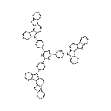 c1ccc2c(c1)sc1c2ccc2c1c1ccccc1n2-c1ccc(-c2nc(-c3ccc(-n4c5ccccc5c5c6sc7ccccc7c6ccc54)cc3)nc(-c3ccc(-n4c5ccccc5c5c6sc7ccccc7c6ccc54)cc3)n2)cc1